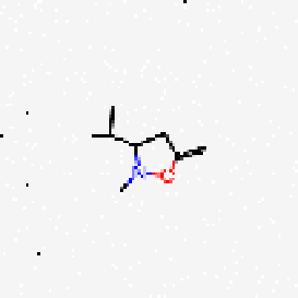 C=C1CC(C(C)C)N(C)O1